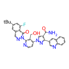 CC(C)(C)c1cc(F)c2c(=O)n(-c3nccc(-n4cc(C(N)=O)c(-c5cnc6ccccc6c5)n4)c3CO)ncc2c1